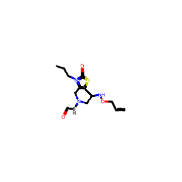 C=CCONC1CN(BC=O)Cc2c1sc(=O)n2CCC